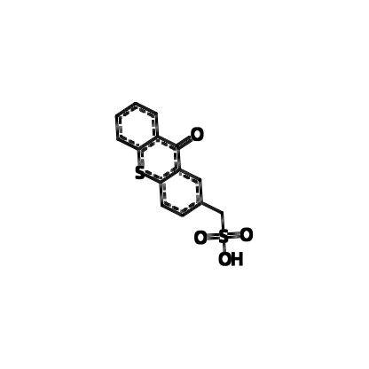 O=c1c2ccccc2sc2ccc(CS(=O)(=O)O)cc12